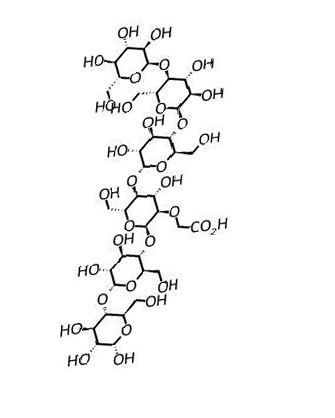 O=C(O)CO[C@H]1[C@@H](O[C@H]2[C@H](O)[C@@H](O)[C@@H](O[C@H]3[C@H](O)[C@@H](O)[C@@H](O)O[C@@H]3CO)O[C@@H]2CO)O[C@H](CO)[C@@H](O[C@H]2O[C@H](CO)[C@@H](O[C@H]3O[C@H](CO)[C@@H](O[C@H]4O[C@H](CO)[C@@H](O)[C@H](O)[C@H]4O)[C@H](O)[C@H]3O)[C@H](O)[C@H]2O)[C@@H]1O